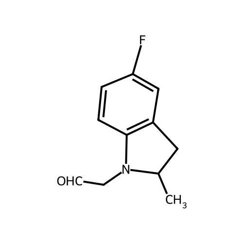 CC1Cc2cc(F)ccc2N1CC=O